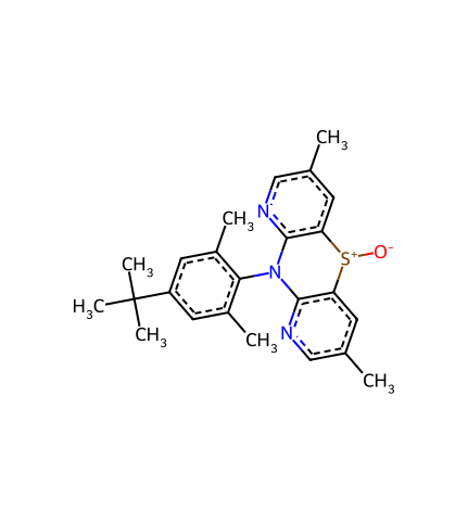 Cc1cnc2c(c1)[S+]([O-])c1cc(C)cnc1N2c1c(C)cc(C(C)(C)C)cc1C